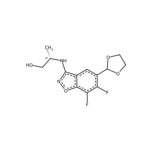 C[C@@H](CO)Nc1noc2c(F)c(F)c(C3OCCO3)cc12